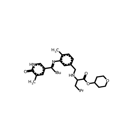 CCC(C)/C(=N\c1cc(CNC(CC(C)C)C(=O)OC2CCOCC2)ccc1C)c1c[nH]c(=O)c(C)c1